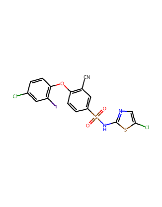 N#Cc1cc(S(=O)(=O)Nc2ncc(Cl)s2)ccc1Oc1ccc(Cl)cc1I